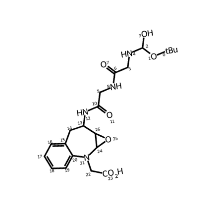 CC(C)(C)OC(O)NCC(=O)NCC(=O)NC1Cc2ccccc2N(CC(=O)O)C2OC12